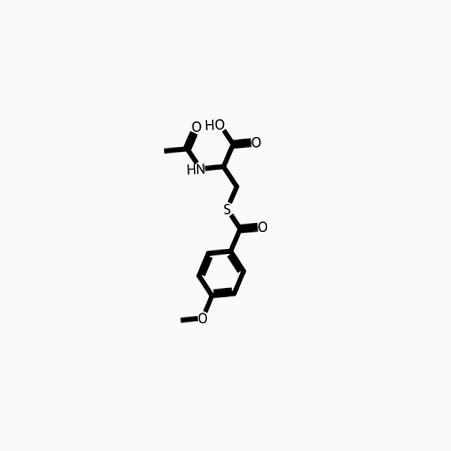 COc1ccc(C(=O)SCC(NC(C)=O)C(=O)O)cc1